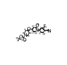 CC(C)(C)OC(=O)N1CCC(Oc2ccn(-c3ccc(C#N)c(F)c3)c(=O)c2)CC1